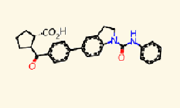 O=C(c1ccc(-c2ccc3c(c2)CCN3C(=O)Nc2ccccc2)cc1)C1CCC[C@@H]1C(=O)O